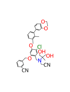 Cc1c(COc2cc(OCc3cccc(C#N)c3)c(CN(CC#N)C(C)(CO)CO)cc2Cl)cccc1-c1ccc2c(c1)OCCO2